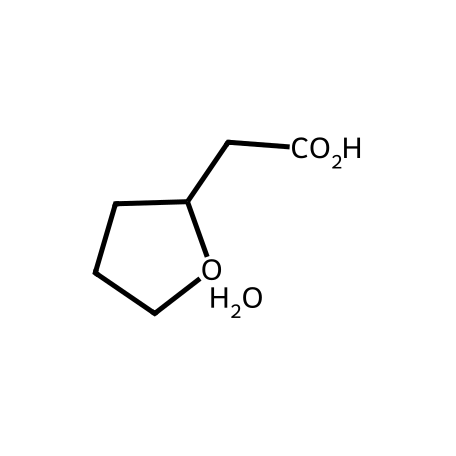 O.O=C(O)CC1CCCO1